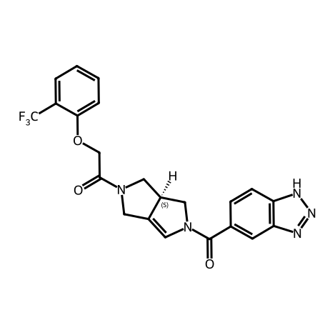 O=C(c1ccc2[nH]nnc2c1)N1C=C2CN(C(=O)COc3ccccc3C(F)(F)F)C[C@H]2C1